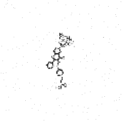 CC1(C)OB(c2ccc3oc(-c4ccccc4)c(OCc4ccc(/C=C/C(=O)O)cc4)c(=O)c3c2)OC1(C)C